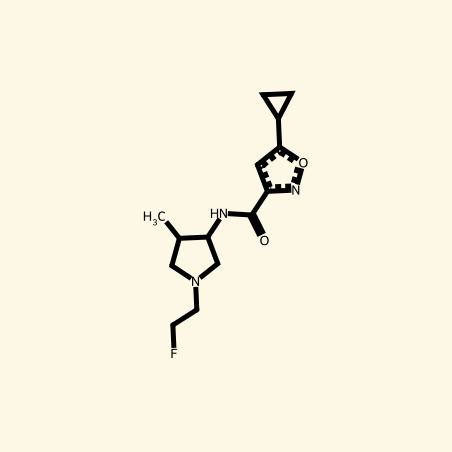 CC1CN(CCF)CC1NC(=O)c1cc(C2CC2)on1